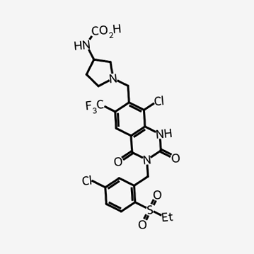 CCS(=O)(=O)c1ccc(Cl)cc1Cn1c(=O)[nH]c2c(Cl)c(CN3CCC(NC(=O)O)C3)c(C(F)(F)F)cc2c1=O